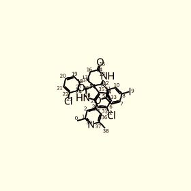 Cc1cc(Oc2ccc(I)cc2[C@@H]2NC(=O)C[C@@H](C3C=CC=C(Cl)C3)[C@]23C(=O)Nc2cc(Cl)ccc23)cc(C)n1